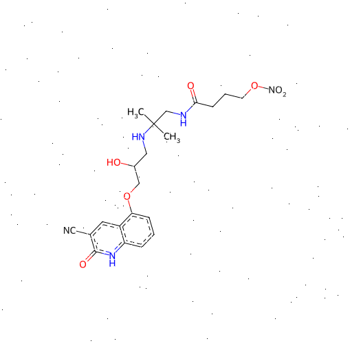 CC(C)(CNC(=O)CCCO[N+](=O)[O-])NCC(O)COc1cccc2[nH]c(=O)c(C#N)cc12